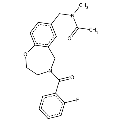 CC(=O)N(C)Cc1ccc2c(c1)CN(C(=O)c1ccccc1F)CCO2